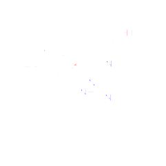 CC(C)(C)OC(=O)CNCC(Cc1ccccc1)Nc1ncc(Cl)n(CC(=O)O)c1=O